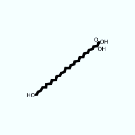 O=C(O)C(O)CCCCCCCCCCCCCCCCCCCCCCCCCCO